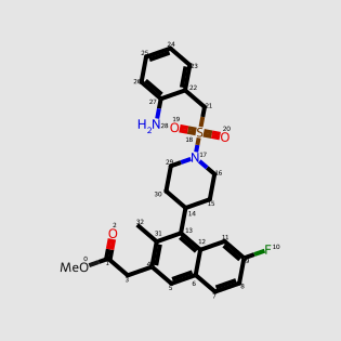 COC(=O)Cc1cc2ccc(F)cc2c(C2CCN(S(=O)(=O)Cc3ccccc3N)CC2)c1C